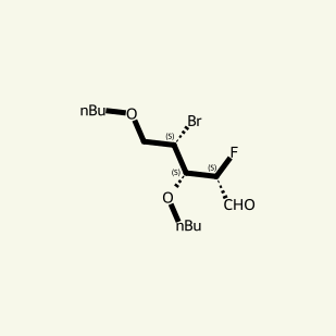 CCCCOC[C@H](Br)[C@@H](OCCCC)[C@H](F)C=O